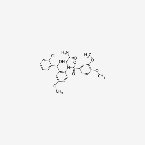 COc1ccc(N(CC(N)=O)S(=O)(=O)c2ccc(OC)c(OC)c2)c(C(O)c2ccccc2Cl)c1